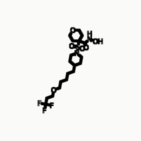 O=C(NO)C1(S(=O)(=O)N2CCC(CCCCCOCCC(F)(F)F)CC2)CCOCC1